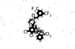 O=C(Cc1cc(C(F)(F)F)cc(C(F)(F)F)c1)N1CCO[C@](CCOS(=O)(=O)c2ccccc2[N+](=O)[O-])(c2ccc(Cl)c(Cl)c2)C1